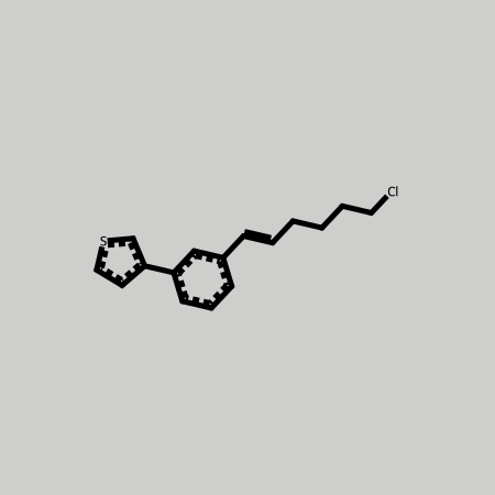 ClCCCCC=Cc1cccc(-c2ccsc2)c1